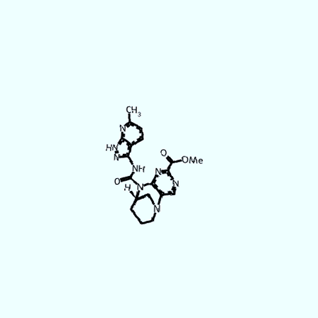 COC(=O)c1ncc2c(n1)N(C(=O)Nc1n[nH]c3nc(C)ccc13)[C@H]1CCCN2C1